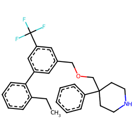 CCc1ccccc1-c1cc(COCC2(c3ccccc3)CCNCC2)cc(C(F)(F)F)c1